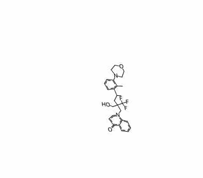 Cc1c(C(C)CC(CO)(Cn2ccc(=O)c3ccccc32)C(F)(F)F)cccc1N1CCOCC1